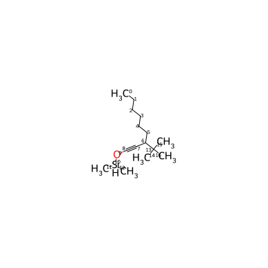 CCCCCCC(C#CO[SiH](C)C)C(C)(C)C